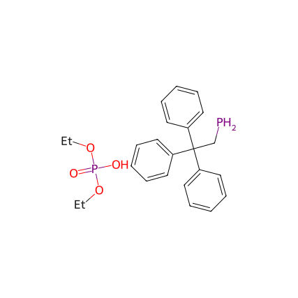 CCOP(=O)(O)OCC.PCC(c1ccccc1)(c1ccccc1)c1ccccc1